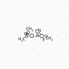 CCOP(=O)(OCC)c1ccc(Cn2c3cc(F)c(OC)cc3c3ncccc32)cc1